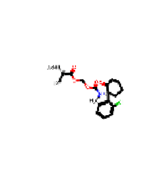 CC(=O)N[C@H](C(=O)OCOC(=O)N(C)[C@@]1(c2ccccc2Cl)CCCCC1=O)C(C)C